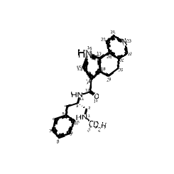 O=C(O)NC[C@H](Cc1ccccc1)NC(=O)c1c[nH]c2c1CCc1cnccc1-2